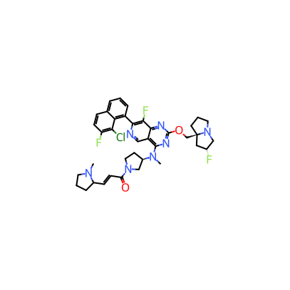 CN1CCCC1/C=C/C(=O)N1CC[C@@H](N(C)c2nc(OC[C@@]34CCCN3C[C@H](F)C4)nc3c(F)c(-c4cccc5ccc(F)c(Cl)c45)ncc23)C1